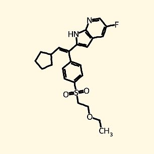 CCOCCS(=O)(=O)c1ccc(/C(=C\C2CCCC2)c2cc3cc(F)cnc3[nH]2)cc1